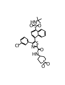 CC(C)(C)NS(=O)(=O)c1ccc(-c2sc(C(=O)NC3CCS(=O)(=O)CC3)nc2-c2cccc(Cl)c2)c2ccccc12